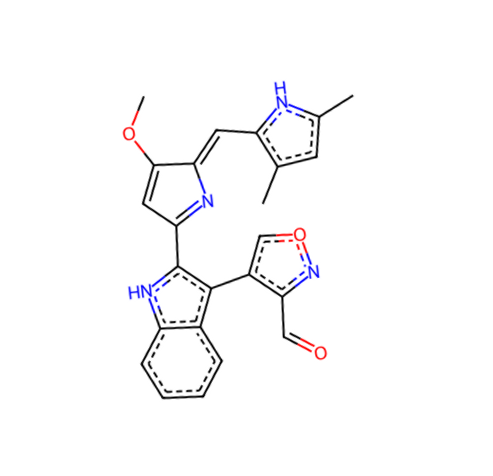 COC1=CC(c2[nH]c3ccccc3c2-c2conc2C=O)=NC1=Cc1[nH]c(C)cc1C